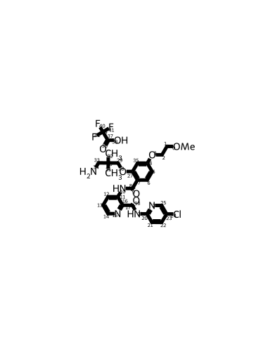 COCCOc1ccc(C(=O)Nc2cccnc2C(=O)Nc2ccc(Cl)cn2)c(OCC(C)(C)CN)c1.O=C(O)C(F)(F)F